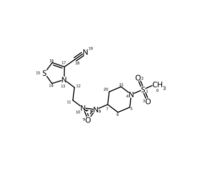 CS(=O)(=O)N1CCC(n2on2CCN2CSC=C2C#N)CC1